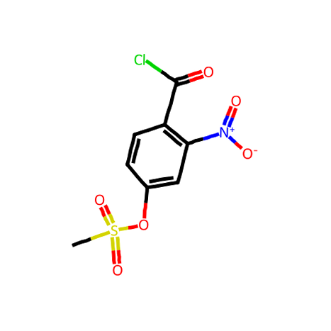 CS(=O)(=O)Oc1ccc(C(=O)Cl)c([N+](=O)[O-])c1